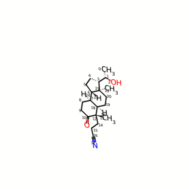 C[C@H](O)[C@H]1CC[C@H]2[C@@H]3CCC(=O)[C@@](C)(CCC#N)[C@@H]3CC[C@]12C